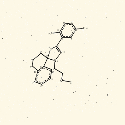 COCCN1N=C(c2cc(F)ccc2F)SC12CCCc1ccccc12